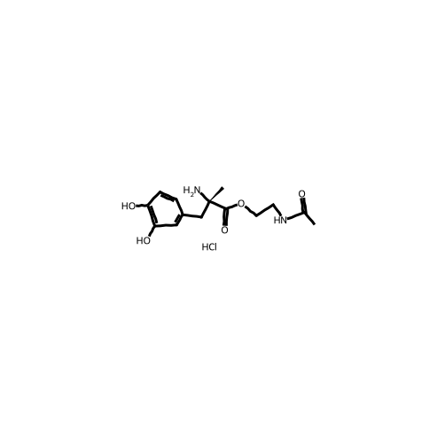 CC(=O)NCCOC(=O)[C@@](C)(N)Cc1ccc(O)c(O)c1.Cl